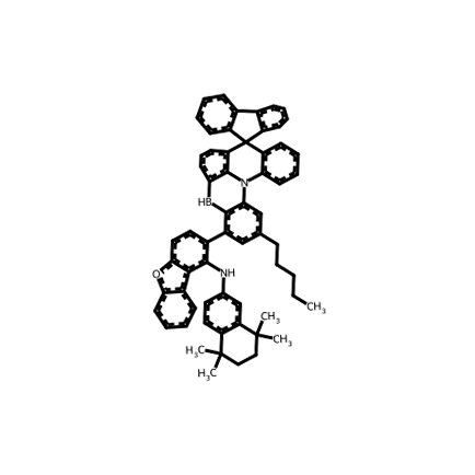 CCCCCc1cc(-c2ccc3oc4ccccc4c3c2Nc2ccc3c(c2)C(C)(C)CCC3(C)C)c2c(c1)N1c3ccccc3C3(c4ccccc4-c4ccccc43)c3cccc(c31)B2